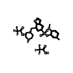 COc1ccc(C)cc1OS(=O)(=O)c1cc(CN2CCN(C)CC2)c2occc2c1.O=C(O)C(F)(F)F.O=C(O)C(F)(F)F